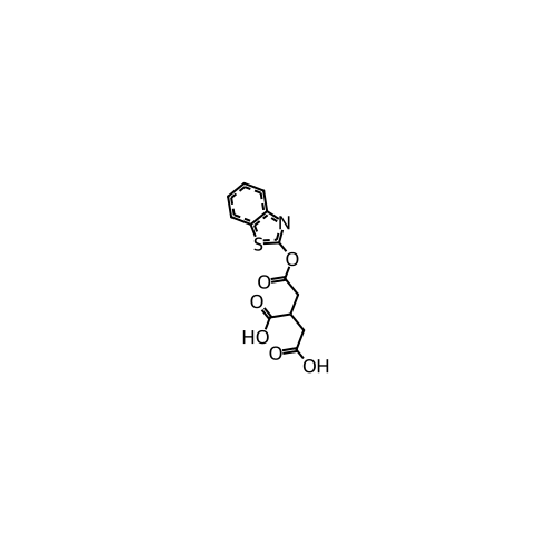 O=C(O)CC(CC(=O)Oc1nc2ccccc2s1)C(=O)O